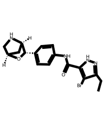 CCc1n[nH]c(C(=O)Nc2ccc([C@@H]3O[C@H]4CN[C@@H]3C4)cc2)c1Br